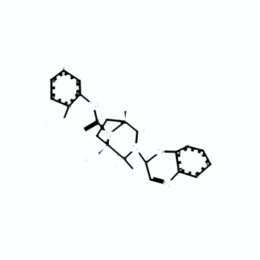 O=C(O)c1ccccc1NC(=O)N1[C@@H]2CC[C@H]1[C@@H]1C[C@]3(C=Nc4ccccc4N3)N1C2